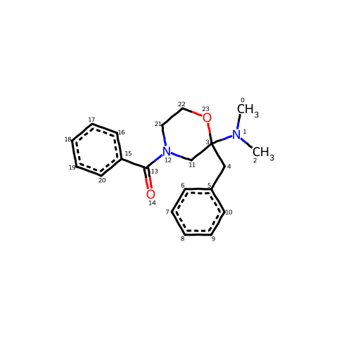 CN(C)C1(Cc2ccccc2)CN(C(=O)c2ccccc2)CCO1